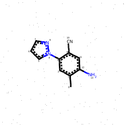 Cc1cc(-n2cccn2)c(C#N)cc1N